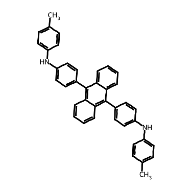 Cc1ccc(Nc2ccc(-c3c4ccccc4c(-c4ccc(Nc5ccc(C)cc5)cc4)c4ccccc34)cc2)cc1